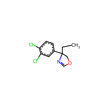 CCC1(c2ccc(Cl)c(Cl)c2)CO[C]=N1